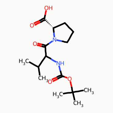 CC(C)C(NC(=O)OC(C)(C)C)C(=O)N1CCC[C@H]1C(=O)O